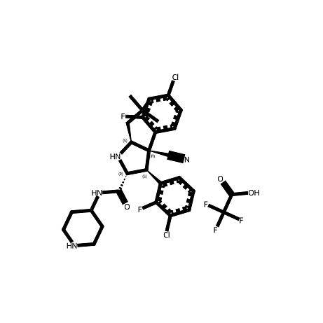 CC(C)(C)C[C@@H]1N[C@@H](C(=O)NC2CCNCC2)[C@H](c2cccc(Cl)c2F)[C@@]1(C#N)c1ccc(Cl)cc1F.O=C(O)C(F)(F)F